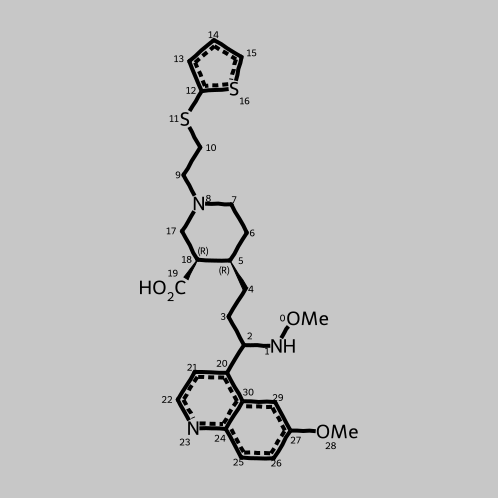 CONC(CC[C@@H]1CCN(CCSc2cccs2)C[C@@H]1C(=O)O)c1ccnc2ccc(OC)cc12